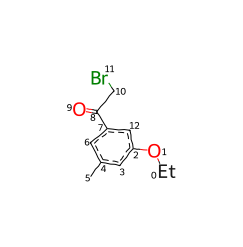 CCOc1cc(C)cc(C(=O)CBr)c1